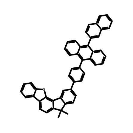 CC1(C)c2ccc(-c3ccc(-c4c5ccccc5c(-c5ccc6ccccc6c5)c5ccccc45)cc3)cc2-c2c1ccc1c2sc2ccccc21